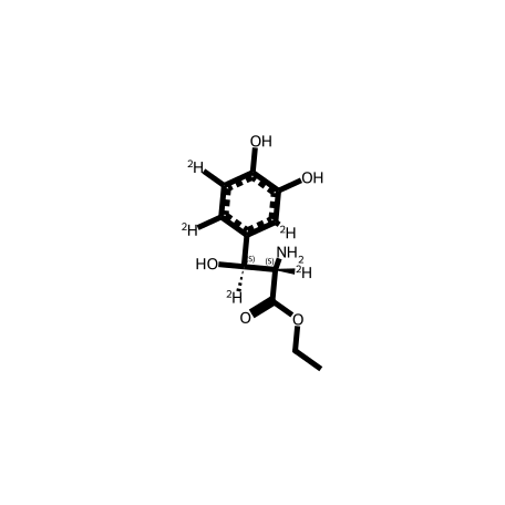 [2H]c1c([2H])c([C@]([2H])(O)[C@]([2H])(N)C(=O)OCC)c([2H])c(O)c1O